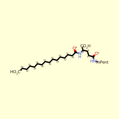 CCCCCNC(=O)CCC(NC(=O)CCCCCCCCCCCCCCC(=O)O)C(=O)O